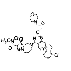 CN(C)C(=O)c1nn2c(c1Cl)CN(c1nc(OCC3(CN4CCOCC4)CC3)nc3c1CO[C@@]1(CCc4c(Cl)cccc41)C3)CCC2